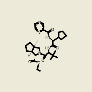 CCOC(=O)[C@@H]1[C@H]2CCC[C@H]2CN1C(=O)[C@@H](NC(=O)[C@@H](NC(=O)c1cnccn1)C1CCCC1)C(C)(C)C